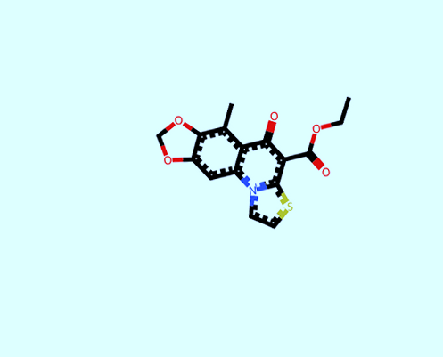 CCOC(=O)c1c(=O)c2c(C)c3c(cc2n2ccsc12)OCO3